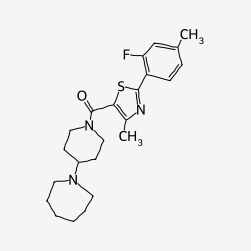 Cc1ccc(-c2nc(C)c(C(=O)N3CCC(N4CCCCCC4)CC3)s2)c(F)c1